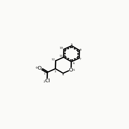 O=C(Cl)C1COc2ccccc2C1